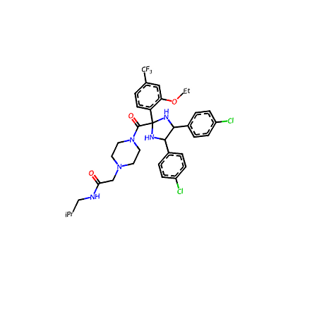 CCOc1cc(C(F)(F)F)ccc1C1(C(=O)N2CCN(CC(=O)NCC(C)C)CC2)NC(c2ccc(Cl)cc2)C(c2ccc(Cl)cc2)N1